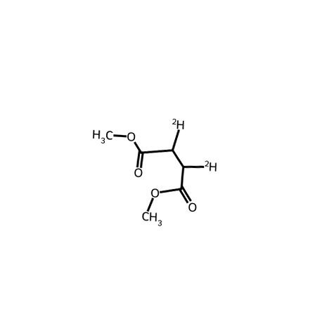 [2H]C(C(=O)OC)C([2H])C(=O)OC